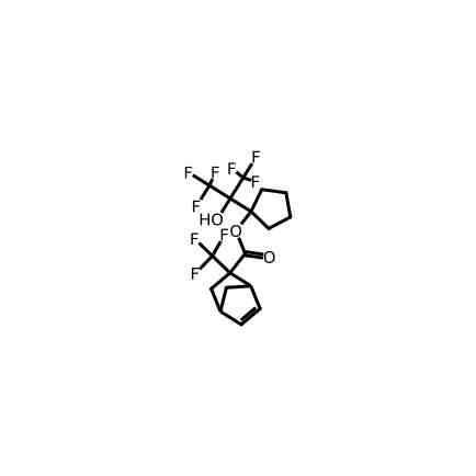 O=C(OC1(C(O)(C(F)(F)F)C(F)(F)F)CCCC1)C1(C(F)(F)F)CC2C=CC1C2